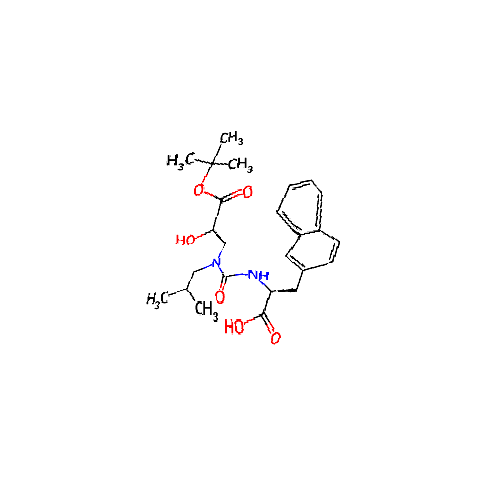 CC(C)CN(CC(O)C(=O)OC(C)(C)C)C(=O)N[C@@H](Cc1ccc2ccccc2c1)C(=O)O